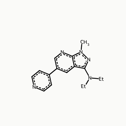 CCN(CC)c1nn(C)c2ncc(-c3ccncc3)cc12